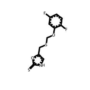 Fc1ccc(F)c(OCSCc2c[nH]c(=S)o2)c1